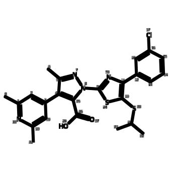 Cc1cc(-c2c(C)nn(-c3nc(-c4cccc(Cl)c4)c(SC(C)C)s3)c2C(=O)O)cc(C)n1